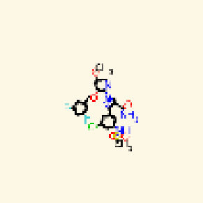 COc1cnc(-n2cc(C(N)=O)c(-c3cc(Cl)cc(NS(C)(=O)=O)c3)n2)c(OCc2cc(F)cc(F)c2)c1